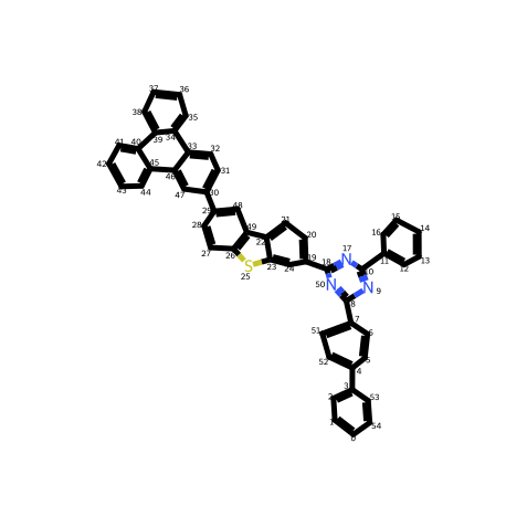 c1ccc(-c2ccc(-c3nc(-c4ccccc4)nc(-c4ccc5c(c4)sc4ccc(-c6ccc7c8ccccc8c8ccccc8c7c6)cc45)n3)cc2)cc1